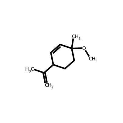 C=C(C)C1C=CC(C)(OC)CC1